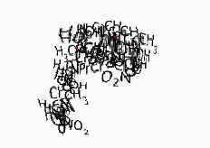 CC1CC(C)N(C[C@@H](O)C(N)=O)C1.CC1CC(C)N(C[C@@H](O)CNS(=O)(=O)c2c(C(C)C)cc(C(C)C)cc2C(C)C)C1.CC1CC(C)N(C[C@@H](O)CNS(=O)(=O)c2cc(Cl)cc(Cl)c2O)C1.CC1CC(C)N(C[C@@H](O)CNS(=O)(=O)c2cc(Cl)ccc2Cl)C1.CC1CC(C)N(C[C@@H](O)CNS(=O)(=O)c2ccc([N+](=O)[O-])cc2)C1.CC1CC(C)N(C[C@@H](O)CNS(=O)(=O)c2ccccc2[N+](=O)[O-])C1